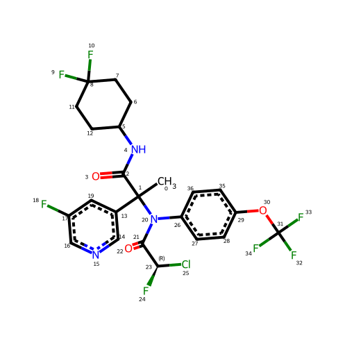 CC(C(=O)NC1CCC(F)(F)CC1)(c1cncc(F)c1)N(C(=O)[C@H](F)Cl)c1ccc(OC(F)(F)F)cc1